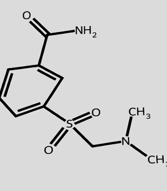 CN(C)CS(=O)(=O)c1cccc(C(N)=O)c1